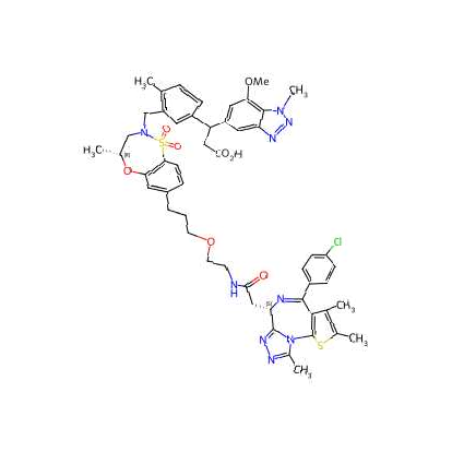 COc1cc(C(CC(=O)O)c2ccc(C)c(CN3C[C@@H](C)Oc4cc(CCCOCCNC(=O)C[C@@H]5N=C(c6ccc(Cl)cc6)c6c(sc(C)c6C)-n6c(C)nnc65)ccc4S3(=O)=O)c2)cc2nnn(C)c12